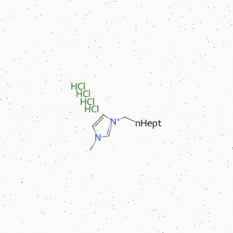 CCCCCCCC[n+]1ccn(C)c1.Cl.Cl.Cl.Cl